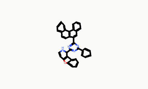 C1=Cc2oc3ccccc3c2C(c2nc(-c3ccccc3)nc(-c3cc4ccccc4c4c3ccc3ccccc34)n2)N1